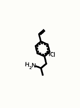 C=Cc1ccc(CC(C)N)cc1.Cl